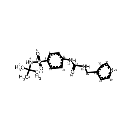 CC(C)(C)NS(=O)(=O)c1ccc(NC(=O)NCc2ccncc2)cc1